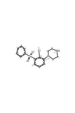 O=S(=O)(c1ccccc1)c1cccc(N2CCNCC2)c1Cl